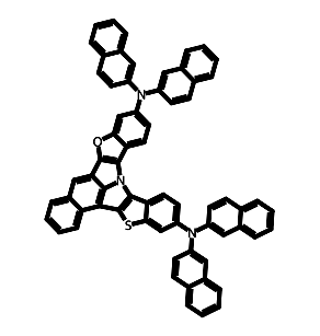 c1ccc2cc(N(c3ccc4ccccc4c3)c3ccc4c(c3)oc3c5cc6ccccc6c6c7sc8cc(N(c9ccc%10ccccc%10c9)c9ccc%10ccccc%10c9)ccc8c7n(c43)c56)ccc2c1